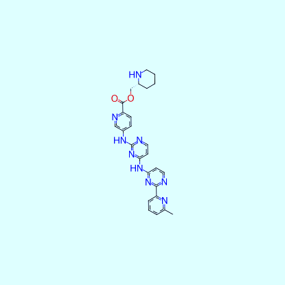 Cc1cccc(-c2nccc(Nc3ccnc(Nc4ccc(C(=O)OC[C@H]5CCCCN5)nc4)n3)n2)n1